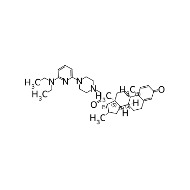 CCN(CC)c1cccc(N2CCN(CC(=O)[C@H]3C(C)C[C@H]4[C@@H]5CCC6=CC(=O)C=C[C@]6(C)C5=CC[C@]34C)CC2)n1